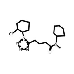 CN(C(=O)CCCc1nnnn1C1CCCCC1Cl)C1CCCCC1